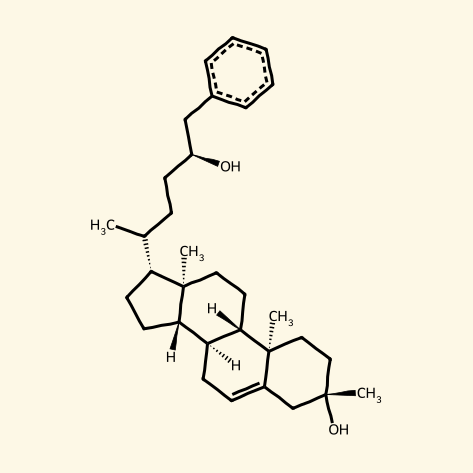 CC(CC[C@H](O)Cc1ccccc1)[C@H]1CC[C@H]2[C@@H]3CC=C4C[C@@](C)(O)CC[C@]4(C)[C@H]3CC[C@]12C